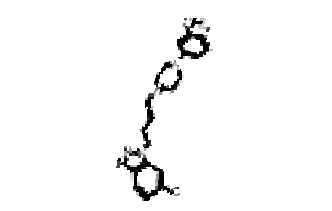 Cc1cccc(N2CCN(CCCCn3nnc4ccc(Cl)cc43)CC2)c1